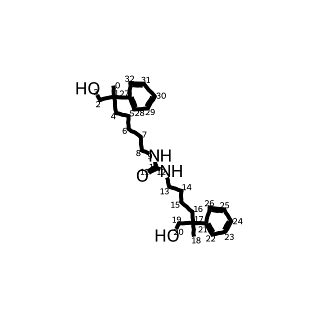 CC(CO)(CCCCCNC(=O)NCCCCC(C)(CO)c1ccccc1)c1ccccc1